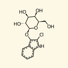 OC[C@H]1O[C@@H](Oc2c(Cl)[nH]c3ccccc23)[C@H](O)[C@@H](O)[C@H]1O